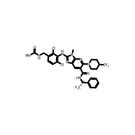 Cn1c(Nc2c(Cl)ccc(CNC(=O)C(C)(C)C)c2Cl)nc2cc(C(=O)N[C@H](c3ccccc3)C(F)(F)F)c(N3CCC(C(F)(F)F)CC3)nc21